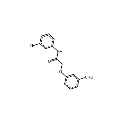 O=Cc1cccc(OCC(=O)Nc2cccc(Cl)c2)c1